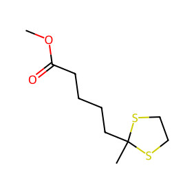 COC(=O)CCCCC1(C)SCCS1